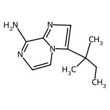 CCC(C)(C)c1cnc2c(N)nccn12